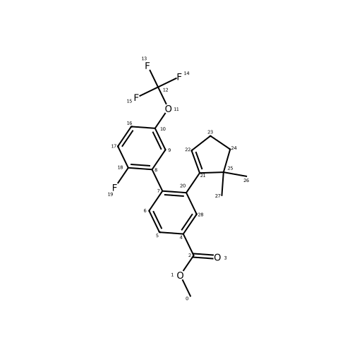 COC(=O)c1ccc(-c2cc(OC(F)(F)F)ccc2F)c(C2=CCCC2(C)C)c1